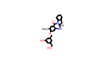 COc1cc2c(cc1OCc1cc(O)cc(CO)c1)NC[C@@H]1Cc3ccccc3N1C2=O